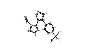 N#Cc1[nH]nnc1-c1csnc1-c1ccc(C(F)(F)F)cc1